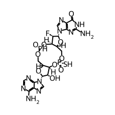 Nc1nc2c(ncn2[C@@H]2O[C@@H]3CO[P@@](=O)(S)O[C@H]4[C@@H](O)[C@H](n5cnc6c(N)ncnc65)O[C@@H]4CO[PH](=O)O[C@H]3[C@H]2F)c(=O)[nH]1